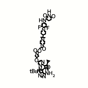 CC(C)(C1CCN(c2c(F)cc(N[C@H]3CCC(=O)NC3=O)cc2F)CC1)N1CCN(C(=O)COC(=O)N2CC(Oc3cnc(-c4c(-c5nn(C(C)(C)C)c6ncnc(N)c56)noc4C4CC4)nc3)C2)CC1